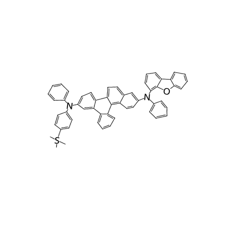 CS(C)(C)c1ccc(N(c2ccccc2)c2ccc3c(c2)c2ccccc2c2c4ccc(N(c5ccccc5)c5cccc6c5oc5ccccc56)cc4ccc32)cc1